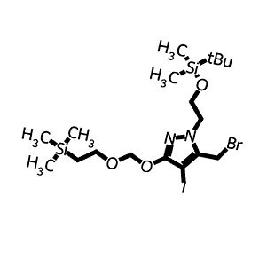 CC(C)(C)[Si](C)(C)OCCn1nc(OCOCC[Si](C)(C)C)c(I)c1CBr